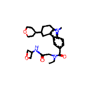 CCN(CC(=O)NC1COC1)C(=O)c1ccc2c(c1)c1c(n2C)CCC(C2CCOCC2)C1